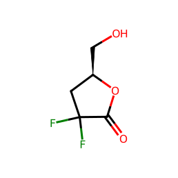 O=C1O[C@H](CO)CC1(F)F